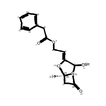 COC1C(=CCOC(=O)Cc2ccccc2)O[C@@H]2CC(=O)N12